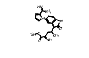 CC(CC(=N)C(=O)OC(C)(C)C)C1C(=O)Nc2ccc([SH]3C=CC=C3C(=N)N)cc21